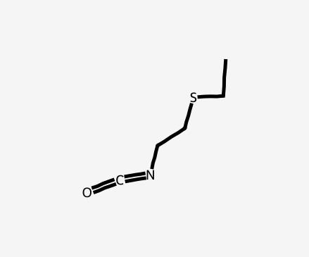 CCSCCN=C=O